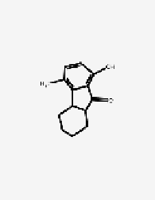 Cc1ccc(O)c2c1C1CCCCC1C2=O